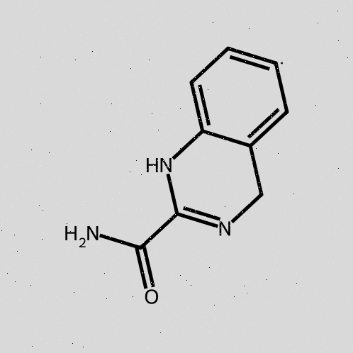 NC(=O)C1=NCc2c[c]ccc2N1